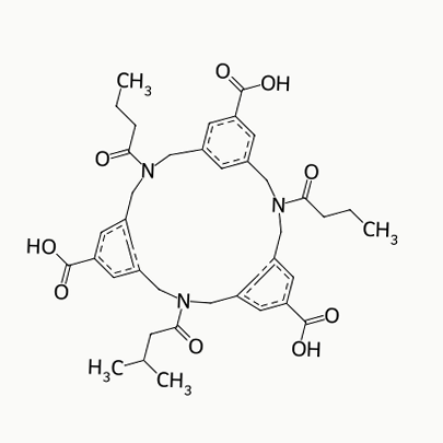 CCCC(=O)N1Cc2cc(cc(C(=O)O)c2)CN(C(=O)CCC)Cc2cc(cc(C(=O)O)c2)CN(C(=O)CC(C)C)Cc2cc(cc(C(=O)O)c2)C1